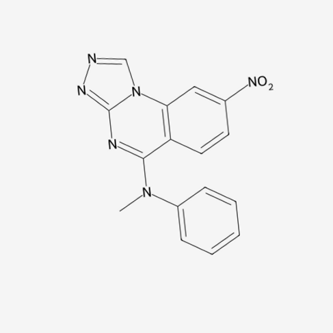 CN(c1ccccc1)c1nc2nncn2c2cc([N+](=O)[O-])ccc12